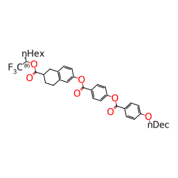 CCCCCCCCCCOc1ccc(C(=O)Oc2ccc(C(=O)Oc3ccc4c(c3)CCC(C(=O)O[C@H](CCCCCC)C(F)(F)F)C4)cc2)cc1